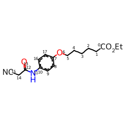 CCOC(=O)CCCCCOc1ccc(NC(=O)CC#N)cc1